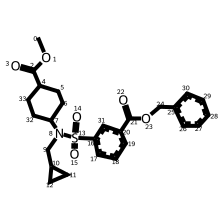 COC(=O)C1CCC(N(CC2CC2)S(=O)(=O)c2cccc(C(=O)OCc3ccccc3)c2)CC1